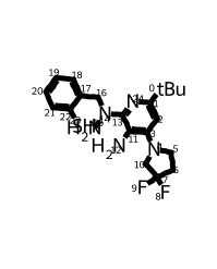 CC(C)(C)c1cc(N2CCC(F)(F)C2)c(N)c(N(N)Cc2ccccc2S)n1